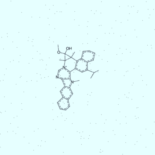 COC1(O)C2(C)c3c(cc(C(C)C)c4ccccc34)-c3c4c(nc[n+]3C12C)c1cc2ccccc2cc1n4C